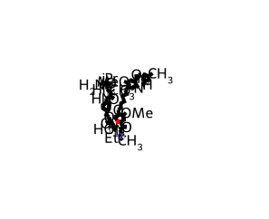 CC/C(C)=C\N1C[C@H](O)N(C(=O)OCc2ccc(NC(=O)[C@H](C)NC(=O)[C@@H](N)C(C)C)cc2)c2cc(OCCCCCOc3cc4c(cc3OC)C(=O)N3C=C(C)C[C@H]3C=N4)c(OC)cc2C1=O